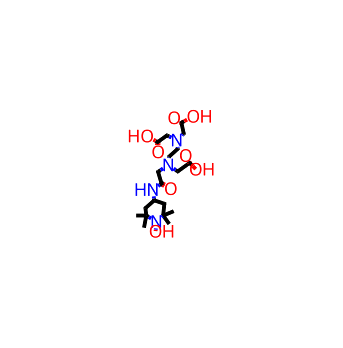 CC1(C)CC(NC(=O)CN(CCN(CC(=O)O)CC(=O)O)CC(=O)O)CC(C)(C)N1O